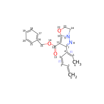 C=C/C=C\C(=C/C)c1nn2c(c1C(=O)OCc1ccccc1)OCC2